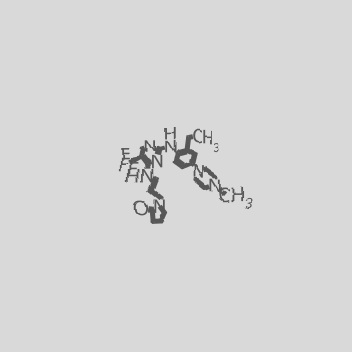 CCc1cc(N2CCN(C)CC2)ccc1Nc1ncc(C(F)(F)F)c(NCCCN2CCCC2=O)n1